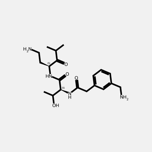 CC(C)C(=O)[C@H](CCN)NC(=O)[C@@H](NC(=O)Cc1cccc(CN)c1)C(C)O